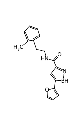 Cc1ccccc1CCNC(=O)C1=NBC(c2ccco2)=C1